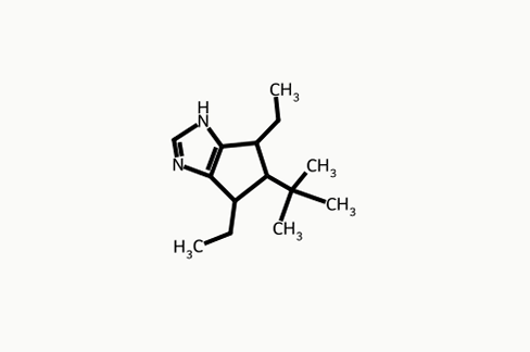 CCC1c2nc[nH]c2C(CC)C1C(C)(C)C